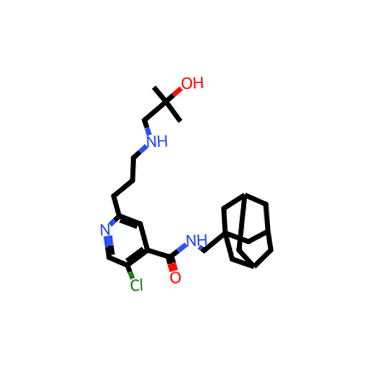 CC(C)(O)CNCCCc1cc(C(=O)NCC23CC4CC(CC(C4)C2)C3)c(Cl)cn1